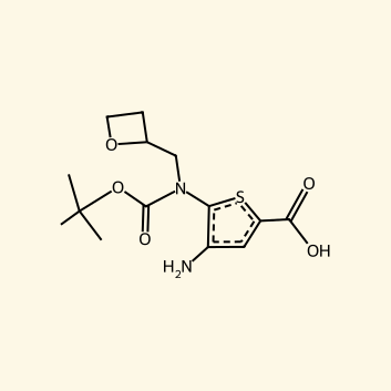 CC(C)(C)OC(=O)N(CC1CCO1)c1sc(C(=O)O)cc1N